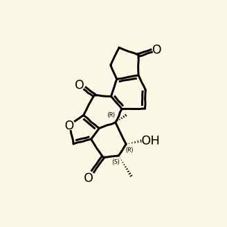 C[C@@H]1C(=O)c2coc3c2[C@@](C)(c2ccc4c(c2C3=O)CCC4=O)[C@@H]1O